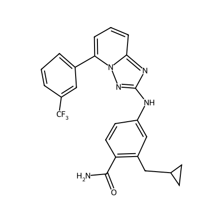 NC(=O)c1ccc(Nc2nc3cccc(-c4cccc(C(F)(F)F)c4)n3n2)cc1CC1CC1